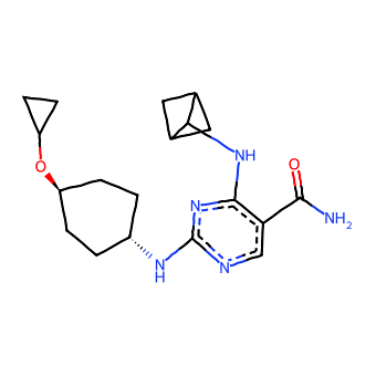 NC(=O)c1cnc(N[C@H]2CC[C@H](OC3CC3)CC2)nc1NC1C2CC1C2